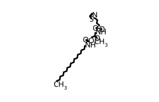 CCCCCCCCCCCCCCCCCCNC(=O)OCC(CNS(=O)(=O)CCCc1nccs1)OC